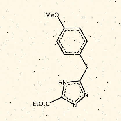 CCOC(=O)c1nnc(Cc2ccc(OC)cc2)[nH]1